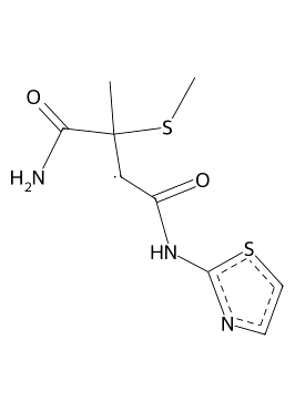 CSC(C)([CH]C(=O)Nc1nccs1)C(N)=O